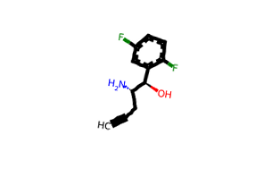 C#CC[C@H](N)[C@H](O)c1cc(F)ccc1F